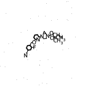 CC(C)(C)OC(=O)N1CCN(c2cccc(OCc3ccc(C#N)cc3F)n2)C2CC21